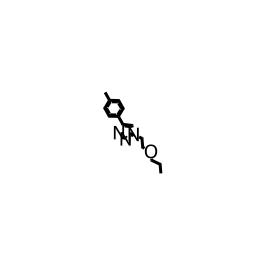 CCCOCCn1cc(-c2ccc(C)cc2)nn1